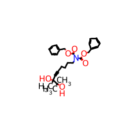 CC(C)(O)C(C)(O)C#CCCCCN(C(=O)OCc1ccccc1)C(=O)OCc1ccccc1